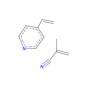 C=C(C)C#N.C=Cc1ccncc1